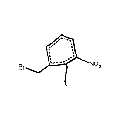 Cc1c(CBr)cccc1[N+](=O)[O-]